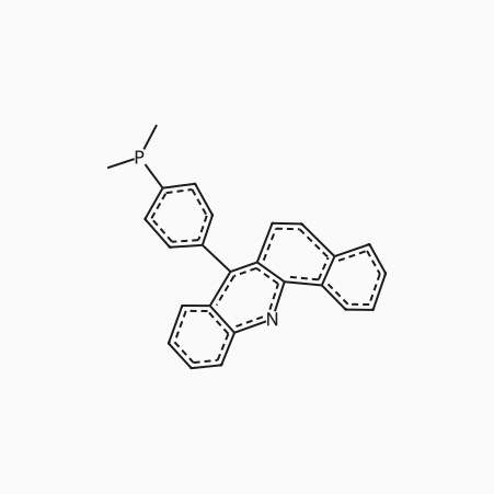 CP(C)c1ccc(-c2c3ccccc3nc3c2ccc2ccccc23)cc1